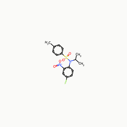 Cc1ccc(S(=O)(=O)N(c2ccc(F)cc2[N+](=O)[O-])C(C)C)cc1